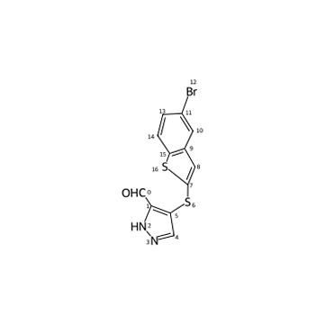 O=Cc1[nH]ncc1Sc1cc2cc(Br)ccc2s1